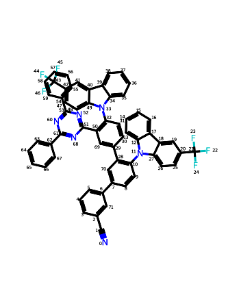 N#Cc1cccc(-c2ccc(-n3c4ccccc4c4cc(C(F)(F)F)ccc43)c(-c3ccc(-n4c5ccccc5c5cc(C(F)(F)F)ccc54)c(-c4nc(-c5ccccc5)nc(-c5ccccc5)n4)c3)c2)c1